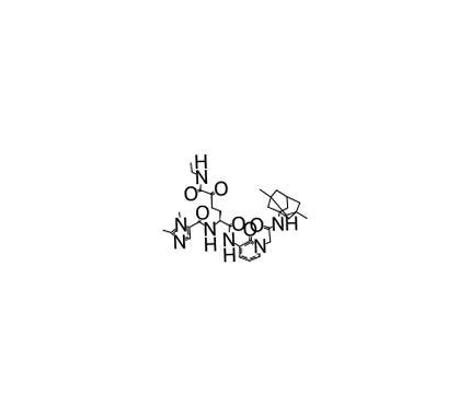 CCNC(=O)C(=O)CC[C@H](NC(=O)c1cnc(C)n1C)C(=O)Nc1cccn(CC(=O)NC23CC4CC(C)(CC(C)(C4)C2)C3)c1=O